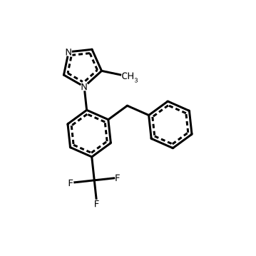 Cc1cncn1-c1ccc(C(F)(F)F)cc1Cc1ccccc1